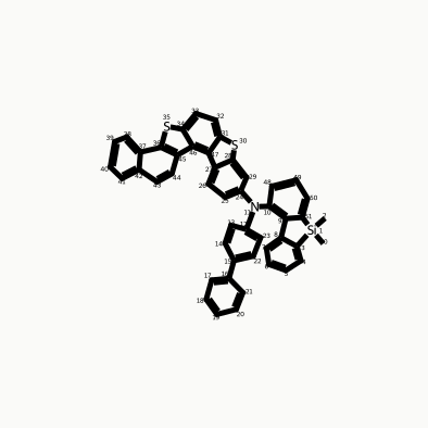 C[Si]1(C)c2ccccc2-c2c(N(c3ccc(-c4ccccc4)cc3)c3ccc4c(c3)sc3ccc5sc6c7ccccc7ccc6c5c34)cccc21